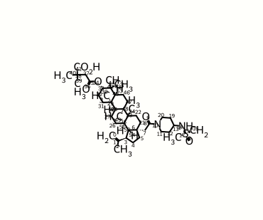 C=C(C)[C@@H]1CC[C@]2(CC(=O)N3CCC(NS(=C)(C)=O)CC3)CC[C@]3(C)[C@H](CC[C@@H]4[C@@]5(C)CC[C@H](OC(=O)CC(C)(C)C(=O)O)C(C)(C)[C@@H]5CC[C@]43C)[C@@H]12